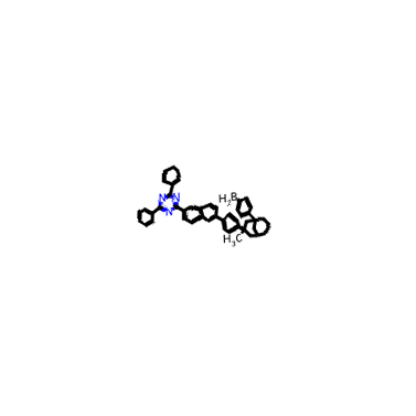 Bc1ccc(C23CCCC(CC(C)(c4ccc(-c5ccc6cc(-c7nc(C8=CCCC=C8)nc(-c8ccccc8)n7)ccc6c5)cc4)C2)C3)cc1